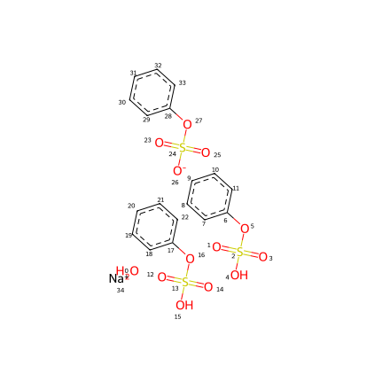 O.O=S(=O)(O)Oc1ccccc1.O=S(=O)(O)Oc1ccccc1.O=S(=O)([O-])Oc1ccccc1.[Na+]